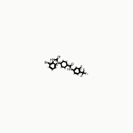 O=C(Nc1ccc(C(F)(F)F)c(F)c1)C1CCC(n2c(=O)[nH]c3c(Br)cccc32)CC1